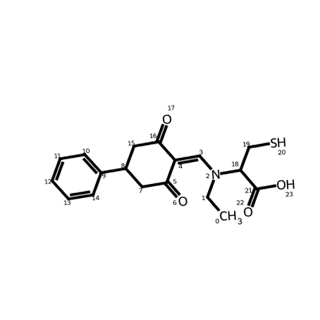 CCN(C=C1C(=O)CC(c2ccccc2)CC1=O)C(CS)C(=O)O